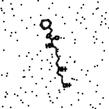 O=C(NCCCCNCCCO)OCc1ccccc1